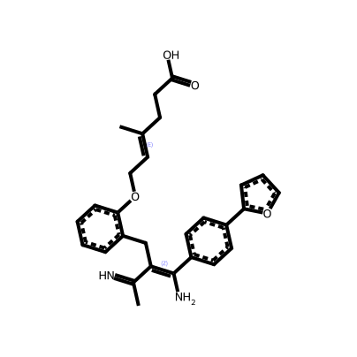 CC(=N)/C(Cc1ccccc1OC/C=C(\C)CCC(=O)O)=C(\N)c1ccc(-c2ccco2)cc1